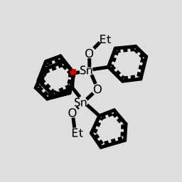 CC[O][Sn]([O][Sn]([O]CC)([c]1ccccc1)[c]1ccccc1)([c]1ccccc1)[c]1ccccc1